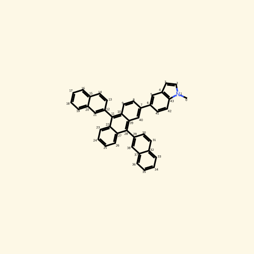 Cn1ccc2cc(-c3ccc4c(-c5ccc6ccccc6c5)c5ccccc5c(-c5ccc6ccccc6c5)c4c3)ccc21